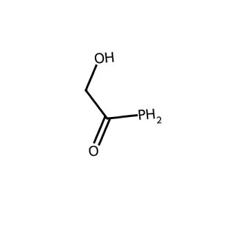 O=C(P)CO